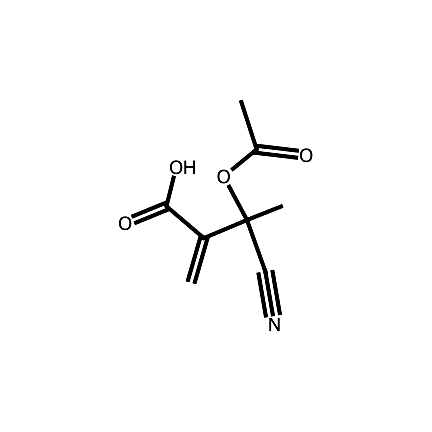 C=C(C(=O)O)C(C)(C#N)OC(C)=O